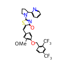 COc1cc(C=C2SC(N3CCCC3c3ccccn3)=NC2=O)ccc1OCc1ccc(C(F)(F)F)cc1C(F)(F)F